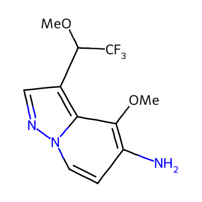 COc1c(N)ccn2ncc(C(OC)C(F)(F)F)c12